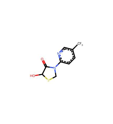 O=C1C(O)SCN1c1ccc(C(F)(F)F)cn1